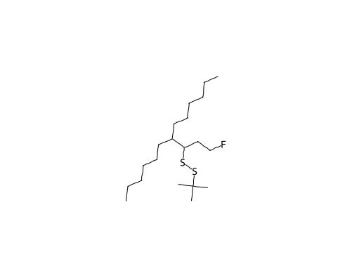 CCCCCCC(CCCCCC)C(CCF)SSC(C)(C)C